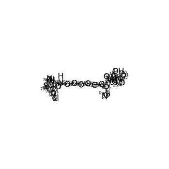 Cc1ncsc1-c1ccc(CNC(=O)[C@@H]2C[C@@H](O)CN2C(=O)C(C(C)C)N2Cc3ccccc3C2=O)c(OCCOCCOCCOCCOCCOCCNC(=O)C[C@@H]2N=C(c3ccc(Cl)cc3)c3c(sc(C)c3C)-n3c(C)nnc32)c1